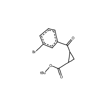 CC(C)(C)OC(=O)C1CC1C(=O)c1cccc(Br)c1